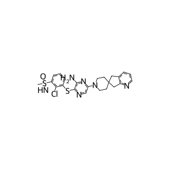 CS(=N)(=O)c1cccc(Sc2ncc(N3CCC4(CC3)Cc3cccnc3C4)nc2N)c1Cl